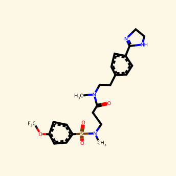 CN(CCc1ccc(C2=NCCN2)cc1)C(=O)CCN(C)S(=O)(=O)c1ccc(OC(F)(F)F)cc1